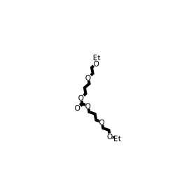 CCOCCOCCCOC(=O)OCCCOCCOCC